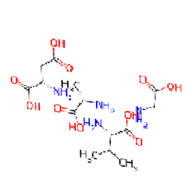 CC(C)[C@H](N)C(=O)O.C[C@H](N)C(=O)O.NCC(=O)O.N[C@@H](CC(=O)O)C(=O)O